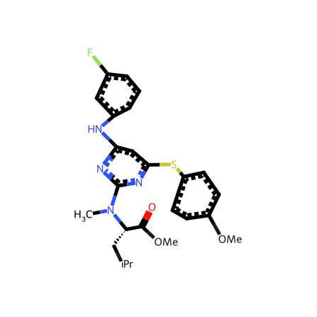 COC(=O)[C@H](CC(C)C)N(C)c1nc(Nc2cccc(F)c2)cc(Sc2ccc(OC)cc2)n1